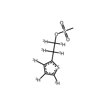 [2H]c1sc(C([2H])([2H])C([2H])([2H])OS(C)(=O)=O)c([2H])c1[2H]